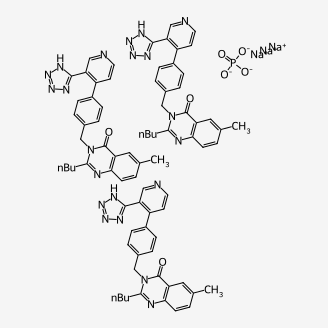 CCCCc1nc2ccc(C)cc2c(=O)n1Cc1ccc(-c2ccncc2-c2nnn[nH]2)cc1.CCCCc1nc2ccc(C)cc2c(=O)n1Cc1ccc(-c2ccncc2-c2nnn[nH]2)cc1.CCCCc1nc2ccc(C)cc2c(=O)n1Cc1ccc(-c2ccncc2-c2nnn[nH]2)cc1.O=P([O-])([O-])[O-].[Na+].[Na+].[Na+]